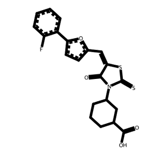 O=C(O)C1CCCC(N2C(=O)/C(=C\c3ccc(-c4ccccc4F)o3)SC2=S)C1